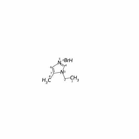 Br.CCn1cncc1C